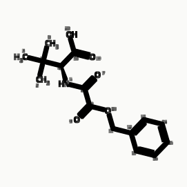 CC(C)(C)[C@H](NC(=O)C(=O)OCc1ccccc1)C(=O)O